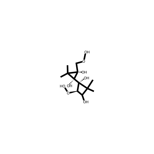 CC1(C)[C@](O)([C@]2(O)[C@H](OO)C(O)C2(C)C)[C@]1(O)COO